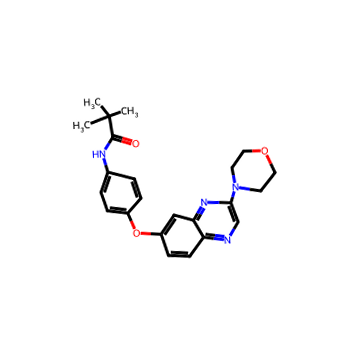 CC(C)(C)C(=O)Nc1ccc(Oc2ccc3ncc(N4CCOCC4)nc3c2)cc1